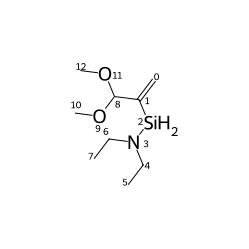 C=C([SiH2]N(CC)CC)C(OC)OC